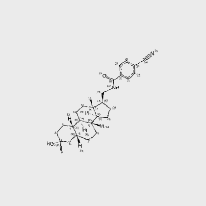 C[C@@]1(O)CC[C@H]2[C@H](CC[C@@H]3[C@@H]2CC[C@]2(C)[C@@H](CNC(=O)c4ccc(C#N)cc4)CC[C@@H]32)C1